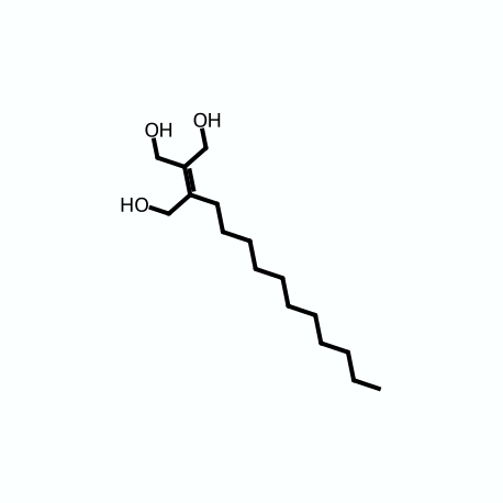 CCCCCCCCCCCC(CO)=C(CO)CO